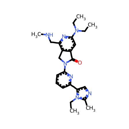 CCN(CC)c1cc2c(c(CNC)n1)CN(c1cccc(-c3cnc(C)n3CC)n1)C2=O